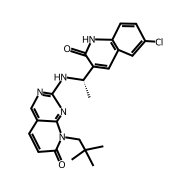 C[C@H](Nc1ncc2ccc(=O)n(CC(C)(C)C)c2n1)c1cc2cc(Cl)ccc2[nH]c1=O